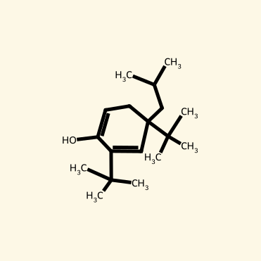 CC(C)CC1(C(C)(C)C)C=C(C(C)(C)C)C(O)=CC1